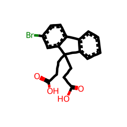 O=C(O)CCC1(CCC(=O)O)c2ccccc2-c2ccc(Br)cc21